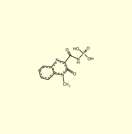 Cn1c(=O)c(C(=O)NP(=O)(O)O)nc2ccccc21